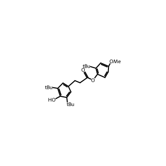 COc1ccc(OC(=O)CCc2cc(C(C)(C)C)c(O)c(C(C)(C)C)c2)c(C(C)(C)C)c1